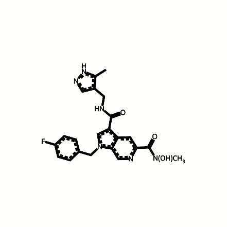 Cc1[nH]ncc1CNC(=O)c1cn(Cc2ccc(F)cc2)c2cnc(C(=O)N(C)O)cc12